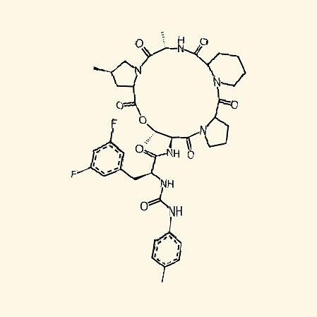 Cc1ccc(NC(=O)N[C@@H](Cc2cc(F)cc(F)c2)C(=O)N[C@@H]2C(=O)N3CCCC3C(=O)N3CCCCC3C(=O)N[C@@H](C)C(=O)N3C[C@H](C)CC3C(=O)O[C@H]2C)cc1